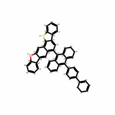 C1=CCCC(c2ccc(-c3c4c(c(-c5cc6c7ccccc7sc6c6cc7oc8ccccc8c7cc56)c5ccccc35)=CCCC=4)cc2)=C1